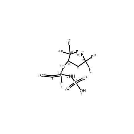 O=C=P(F)(NS(=O)(=O)O)OC(CC(F)(F)F)C(F)(F)F